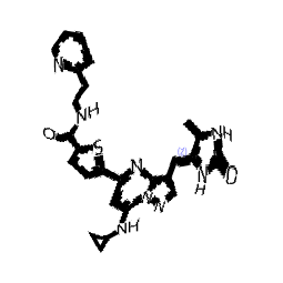 C=c1[nH]c(=O)[nH]/c1=C\c1cnn2c(NC3CC3)cc(-c3ccc(C(=O)NCCc4ccccn4)s3)nc12